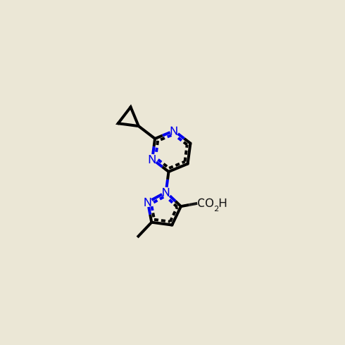 Cc1cc(C(=O)O)n(-c2ccnc(C3CC3)n2)n1